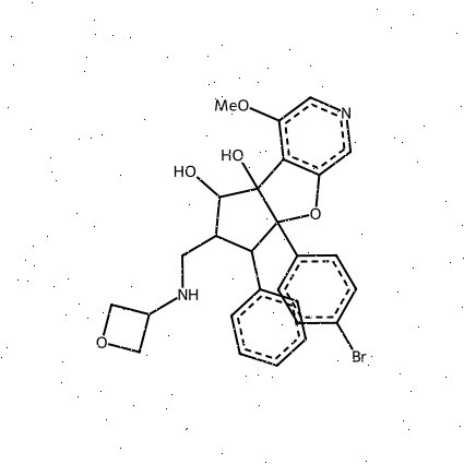 COc1cncc2c1C1(O)C(O)C(CNC3COC3)C(c3ccccc3)C1(c1ccc(Br)cc1)O2